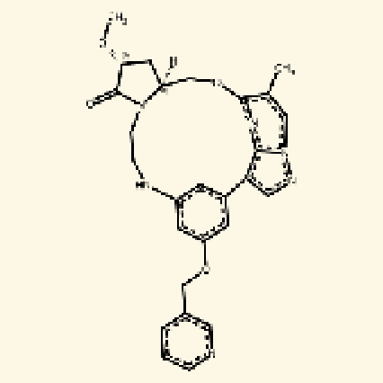 CO[C@@H]1C[C@H]2COc3nc4c(cnn4cc3C)-c3cc(cc(OCc4cccnc4)c3)NCCN2C1=O